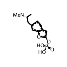 CN[C@H](C)Cc1ccc2cc(OP(=O)(O)O)oc2c1